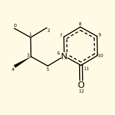 CC(C)[C@H](C)Cn1ccccc1=O